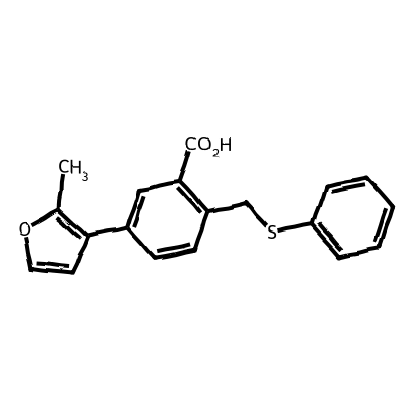 Cc1occc1-c1ccc(CSc2ccccc2)c(C(=O)O)c1